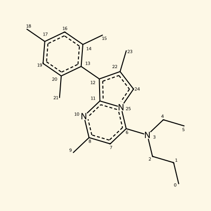 CCCN(CC)c1cc(C)nc2c(-c3c(C)cc(C)cc3C)c(C)cn12